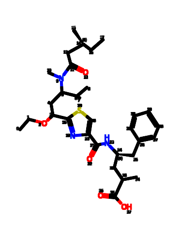 CCOC(CC(C(C)C)N(C)C(=O)C[C@@H](C)CC)c1nc(C(=O)N[C@@H](Cc2ccccc2)CC(C)C(=O)O)cs1